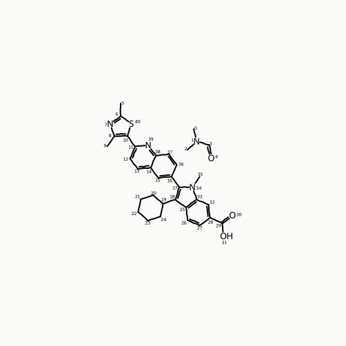 CN(C)C=O.Cc1nc(C)c(-c2ccc3cc(-c4c(C5CCCCC5)c5ccc(C(=O)O)cc5n4C)ccc3n2)s1